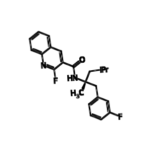 CC(C)C[C@](C)(Cc1cccc(F)c1)NC(=O)c1cc2ccccc2nc1F